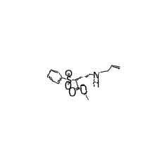 C=CCCNC=CC=C(C(=O)OC)S(=O)(=O)c1ccccc1